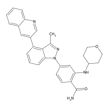 Cc1nn(-c2ccc(C(N)=O)c(NC3CCOCC3)c2)c2cccc(-c3cnc4ccccc4c3)c12